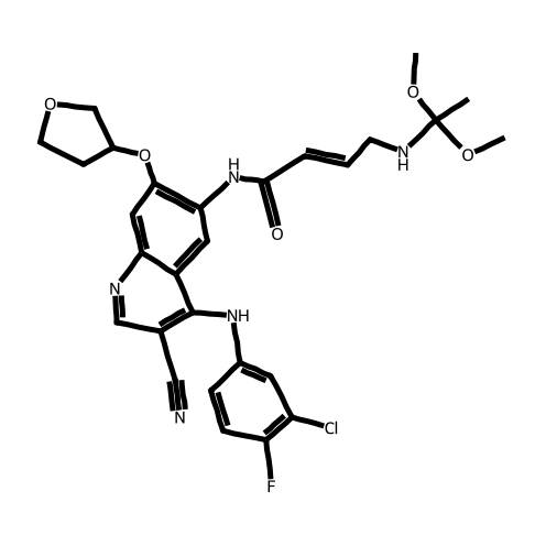 COC(C)(NCC=CC(=O)Nc1cc2c(Nc3ccc(F)c(Cl)c3)c(C#N)cnc2cc1OC1CCOC1)OC